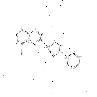 Clc1ccnc2ncc(-c3ccc(-c4ccccc4)cc3)cc12